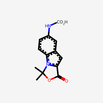 CC1(C)OC(=O)c2cc3cc(NC(=O)O)ccc3n21